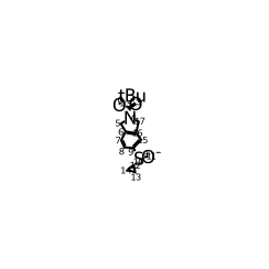 CC(C)(C)OC(=O)N1Cc2ccc([S+]([O-])C3CC3)cc2C1